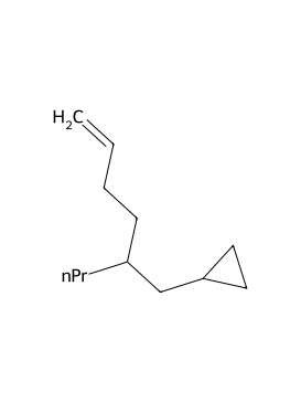 C=CCCC(CCC)CC1CC1